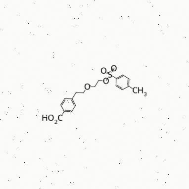 Cc1ccc(S(=O)(=O)OCCOCCc2ccc(C(=O)O)cc2)cc1